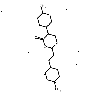 CC1CCC(CCC2CCC(C3CCC(C)CC3)C(=O)O2)CC1